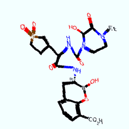 CCN1CCN(C(=O)NC(C(=O)N[C@H]2Cc3cccc(C(=O)O)c3OB2O)C2CCS(=O)(=O)C2)C(O)C1=O